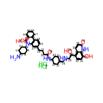 Cl.Cl.NC1CCC(N(C(=O)O)c2cc(CCCC(=O)NC3CCC(CNC[C@@H](O)c4ccc(O)c5[nH]c(=O)ccc45)CC3)ccc2-c2ccccc2)CC1